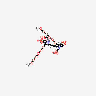 COCCOCCOCCOCCOCCOCCC1(C)C(/C=C/C=C/C=C/C=C2/N(CCCS(=O)(=O)O)c3ccc(S(=O)(=O)[O-])cc3C2(C)CCOCCOCCOCCOCCOCCOC)=[N+](CCCCCC(=O)O)c2ccc(S(=O)(=O)O)cc21